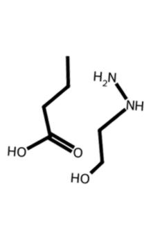 CCCC(=O)O.NNCCO